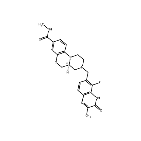 CNC(=O)c1ccc2c(n1)OC[C@@H]1CN(Cc3ccc4nc(C)c(=O)[nH]c4c3F)CCN21